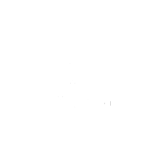 C=C(CCO)C(=O)Oc1ccccc1-c1ccccc1